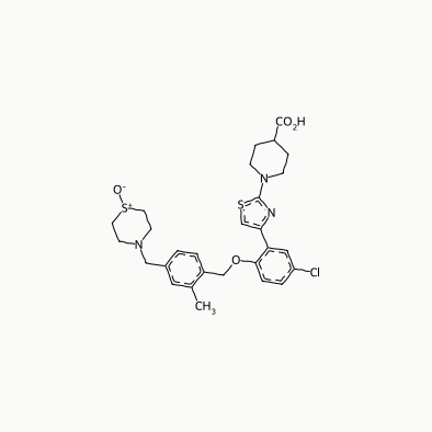 Cc1cc(CN2CC[S+]([O-])CC2)ccc1COc1ccc(Cl)cc1-c1csc(N2CCC(C(=O)O)CC2)n1